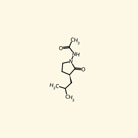 CC(=O)NN1CC[C@H](CC(C)C)C1=O